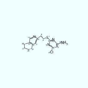 Nc1cc(Cl)nc(SCCc2cc3c(cn2)CCCC3)n1